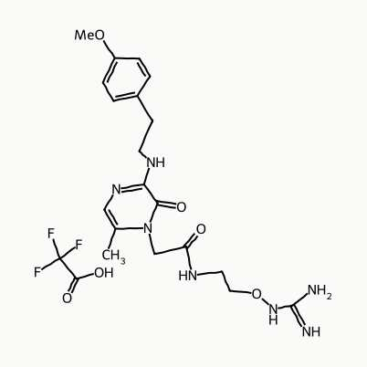 COc1ccc(CCNc2ncc(C)n(CC(=O)NCCONC(=N)N)c2=O)cc1.O=C(O)C(F)(F)F